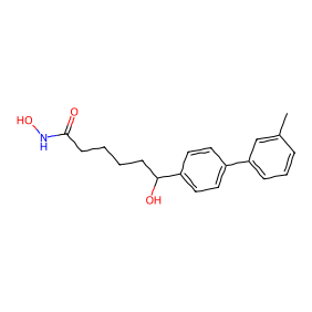 Cc1cccc(-c2ccc(C(O)CCCCC(=O)NO)cc2)c1